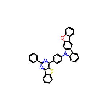 c1ccc(-c2nc(-c3ccc(-n4c5ccccc5c5cc6c(cc54)oc4ccccc46)cc3)c3sc4ccccc4c3n2)cc1